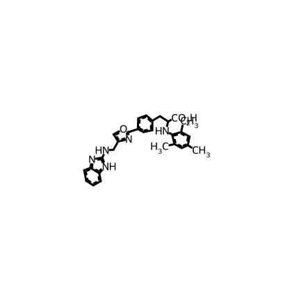 Cc1cc(C)c(NC(Cc2ccc(-c3nc(CNc4nc5ccccc5[nH]4)co3)cc2)C(=O)O)c(C)c1